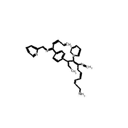 C=C/C=C\C(=N/Cc1ccccn1)c1ccc(C(CC)/C(=C(\C/C=C\C=C/CN)N=C)N2C=CC=CC2)cc1